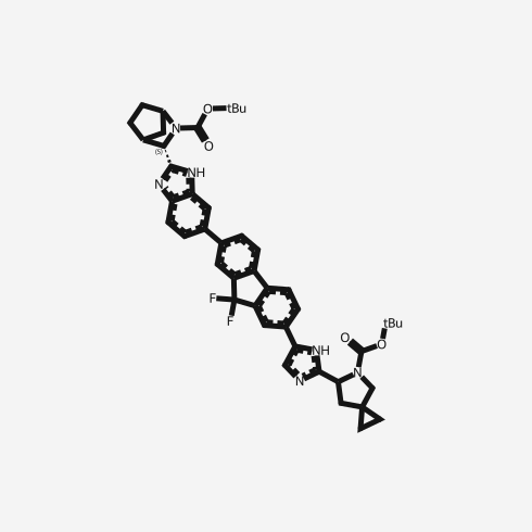 CC(C)(C)OC(=O)N1CC2(CC2)CC1c1ncc(-c2ccc3c(c2)C(F)(F)c2cc(-c4ccc5nc([C@@H]6C7CCC(C7)N6C(=O)OC(C)(C)C)[nH]c5c4)ccc2-3)[nH]1